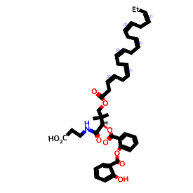 CC/C=C\C/C=C\C/C=C\C/C=C\C/C=C\C/C=C\CC(=O)OCC(C)(C)[C@@H](OC(=O)c1ccccc1OC(=O)c1ccccc1O)C(=O)NCCC(=O)O